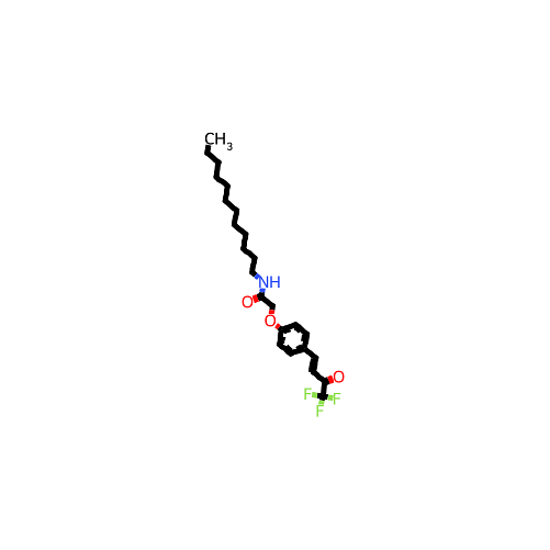 CCCCCCCCCCCCNC(=O)COc1ccc(/C=C/C(=O)C(F)(F)F)cc1